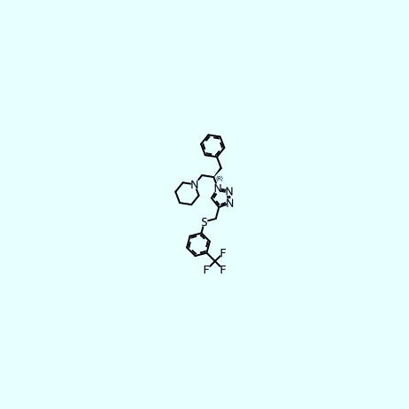 FC(F)(F)c1cccc(SCc2cn([C@H](Cc3ccccc3)CN3CCCCC3)nn2)c1